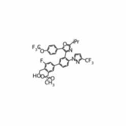 CC(C)c1nc(-c2cc(-c3cc(F)c(CO)c(S(C)(=O)=O)c3)ccc2-n2ccc(C(F)(F)F)n2)c(-c2ccc(OC(F)(F)F)cc2)o1